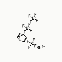 C1=CC2C=CC1C2.F[B-](F)(F)F.F[B-](F)(F)F.F[B-](F)(F)F.[Rh+3]